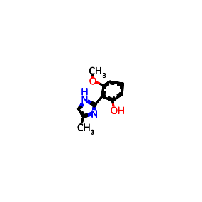 COc1cccc(O)c1-c1nc(C)c[nH]1